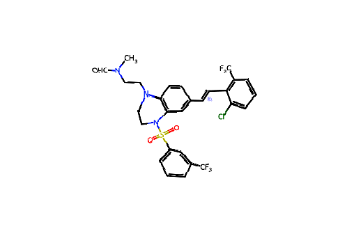 CN(C=O)CCN1CCN(S(=O)(=O)c2cccc(C(F)(F)F)c2)c2cc(/C=C/c3c(Cl)cccc3C(F)(F)F)ccc21